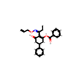 C=CCO/N=C(/CC)C1=C(OC(=O)c2ccccc2)CC(c2ccccc2)CC1=O